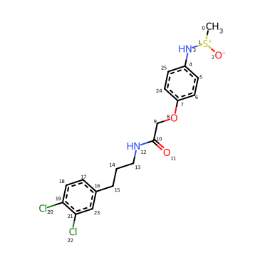 C[S+]([O-])Nc1ccc(OCC(=O)NCCCc2ccc(Cl)c(Cl)c2)cc1